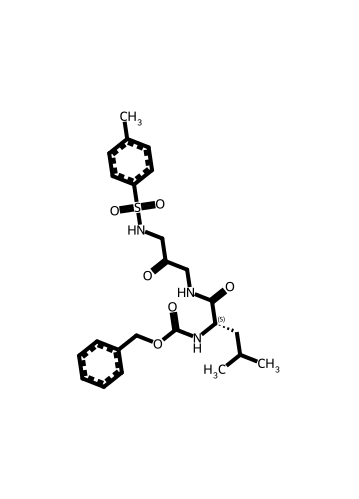 Cc1ccc(S(=O)(=O)NCC(=O)CNC(=O)[C@H](CC(C)C)NC(=O)OCc2ccccc2)cc1